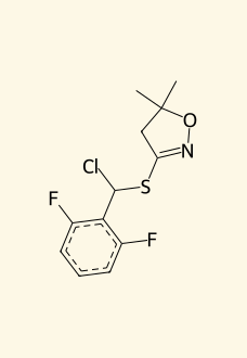 CC1(C)CC(SC(Cl)c2c(F)cccc2F)=NO1